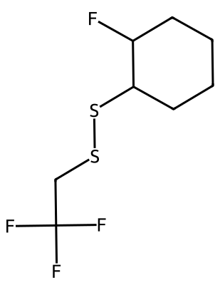 FC1CCCCC1SSCC(F)(F)F